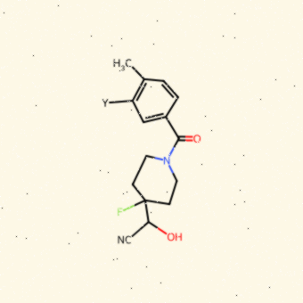 Cc1ccc(C(=O)N2CCC(F)(C(O)C#N)CC2)c[c]1[Y]